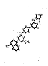 C[C@@H]1CN(c2ccc(C#N)c3ncccc23)C[C@H](CN2CCN(c3ccnc(N[C@H]4CNC[C@H]4F)n3)CC2)O1